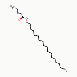 CC=NCC(=O)OCCCCCCCCCCCCCCCCCC